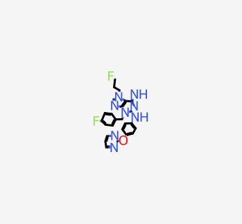 N=c1nc(Nc2ccc(Oc3ncccn3)cc2)n(Cc2ccc(F)cc2)c2ncn(CCCF)c12